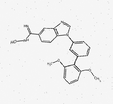 COc1cccc(OC)c1-c1cccc(-n2cnc3cc(C(=N)NO)ccc32)c1